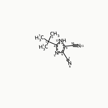 CC(C)(C)c1nc(C#N)c(C#N)[nH]1